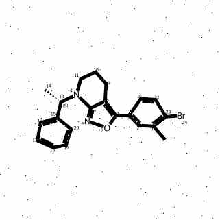 Cc1cc(-c2onc3c2CCCN3[C@@H](C)c2ccccc2)ccc1Br